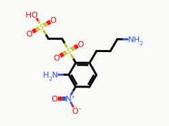 NCCCc1ccc([N+](=O)[O-])c(N)c1S(=O)(=O)CCS(=O)(=O)O